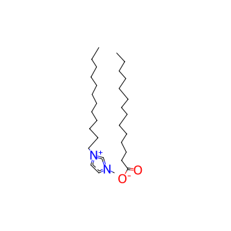 CCCCCCCCCCCCCC(=O)[O-].CCCCCCCCCCCC[n+]1ccn(C)c1